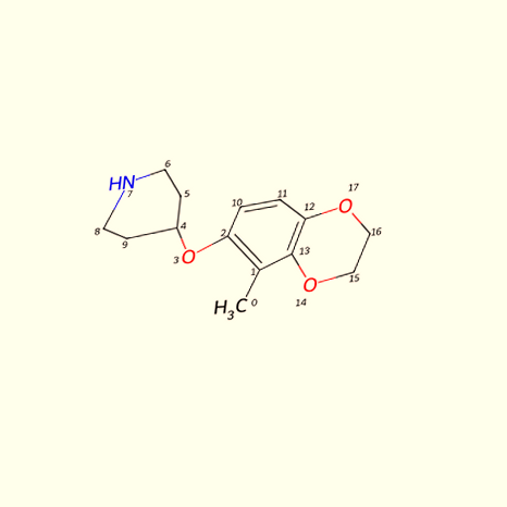 Cc1c(OC2CCNCC2)ccc2c1OCCO2